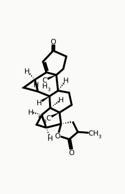 CC1C[C@]2(OC1=O)[C@H]1C[C@H]1[C@H]1[C@@H]3[C@H]4C[C@H]4C4=CC(=O)CC[C@]4(C)[C@H]3CC[C@@]12C